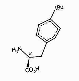 CC(C)(C)c1ccc(C[C@H](N)C(=O)O)cc1